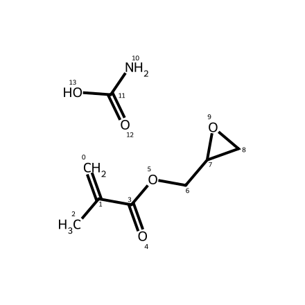 C=C(C)C(=O)OCC1CO1.NC(=O)O